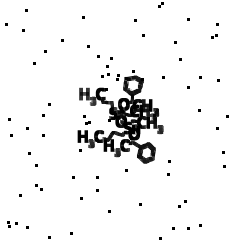 CCC[CH2][Sn]([CH2]C)([O]C(C)c1ccccc1)[O][Sn]([CH2]C)([CH2]CCC)[O]C(C)c1ccccc1